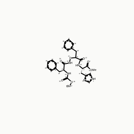 COC(=O)[C@H](Cc1c[nH]cn1)NC(=O)C(Cc1ccccc1)ONC(=O)[C@H](Cc1ccccc1)NC(=O)OC(C)(C)C